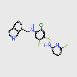 Fc1cccc(NSc2cc(Cl)c(NCc3cccc4ccncc34)cc2F)n1